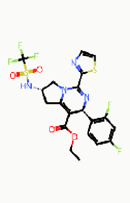 CCOC(=O)C1=C2C[C@H](NS(=O)(=O)C(F)(F)F)CN2C(c2nccs2)=N[C@H]1c1ccc(F)cc1F